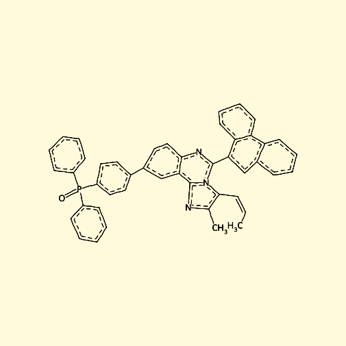 C/C=C\c1c(C)nc2c3cc(-c4ccc(P(=O)(c5ccccc5)c5ccccc5)cc4)ccc3nc(-c3cc4ccccc4c4ccccc34)n12